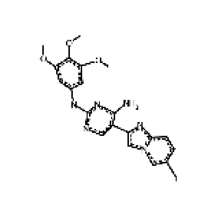 COc1cc(Nc2ncc(-c3cn4cc(I)ccc4n3)c(N)n2)cc(OC)c1OC